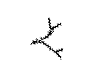 CCCCCCCCC(CCCCCCCC)OC(=O)C(C)(C)CCCCCCOC(=O)[C@@H]1C[C@H](OC(=O)C2CN(C)C2)CN1CCCCCCCC(=O)OCCCC(CCCCC)CCCCC